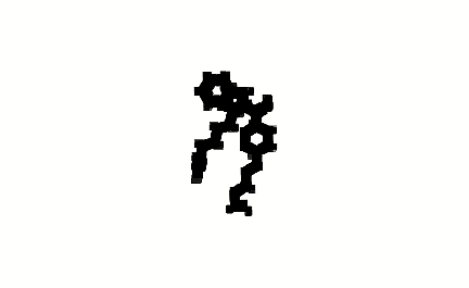 CCOCCN1CCC(C(=O)c2nc3ccccc3n2CCCCC#N)CC1